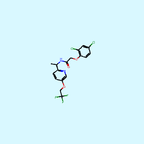 CC(NC(=O)COc1ccc(Cl)cc1Cl)c1ccc(OCC(F)(F)F)cn1